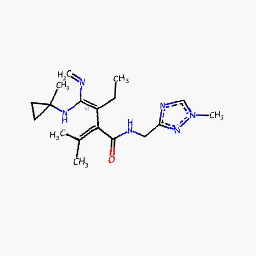 C=N/C(NC1(C)CC1)=C(\CC)C(C(=O)NCc1ncn(C)n1)=C(C)C